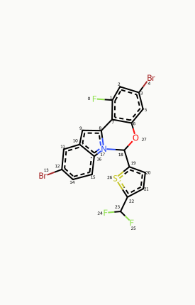 Fc1cc(Br)cc2c1-c1cc3cc(Br)ccc3n1C(c1ccc(C(F)F)s1)O2